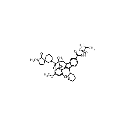 COc1ccc(-c2c(C3CCCCC3)c3ccc(C(=O)NS(=O)(=O)C(C)C)cc3n2CC(C)(C)C(=O)N2CCCC3(CCN(C)C3=O)C2)c(C)c1